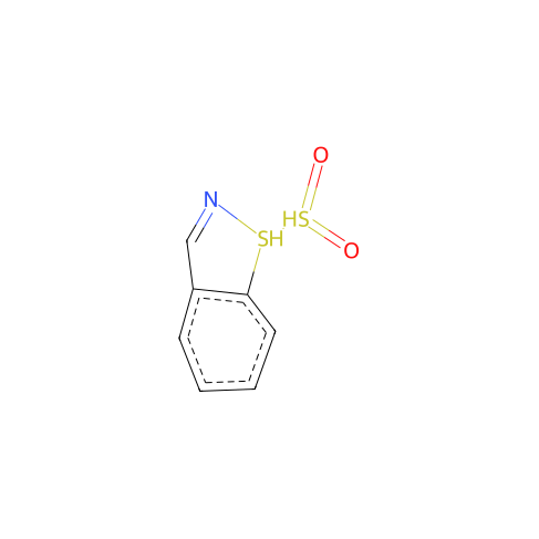 O=[SH](=O)[SH]1N=Cc2ccccc21